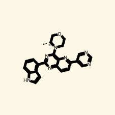 C[C@@H]1COCCN1c1nc(-c2cccc3[nH]ccc23)nc2ccc(-c3cncnc3)nc12